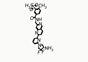 Cc1ccc(C(=O)NCc2cc3nc(-c4cccc(N5C[C@H](N)C(F)(F)C5)n4)ccc3cn2)cc1S(C)(=O)=O